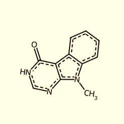 Cn1c2ccccc2c2c(=O)[nH]cnc21